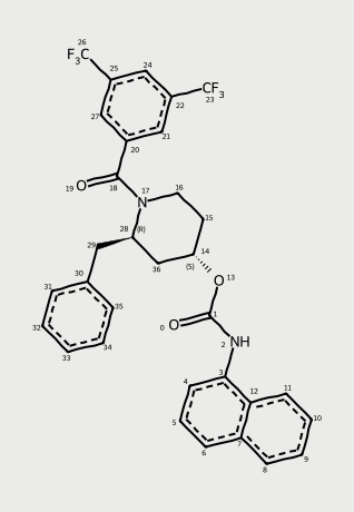 O=C(Nc1cccc2ccccc12)O[C@H]1CCN(C(=O)c2cc(C(F)(F)F)cc(C(F)(F)F)c2)[C@H](Cc2ccccc2)C1